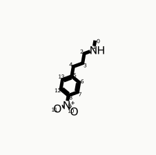 CNCCCc1ccc([N+](=O)[O-])cc1